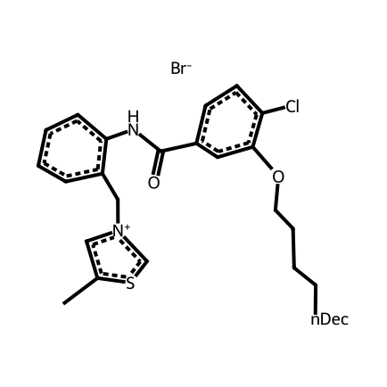 CCCCCCCCCCCCCCOc1cc(C(=O)Nc2ccccc2C[n+]2csc(C)c2)ccc1Cl.[Br-]